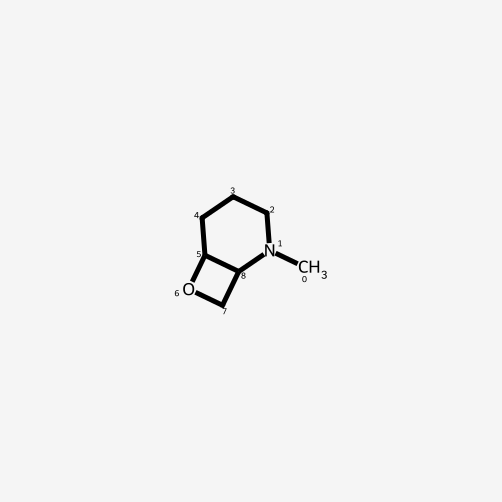 CN1CCCC2OCC21